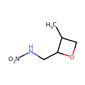 CC1COC1CN[N+](=O)[O-]